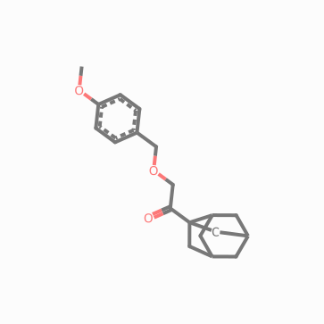 COc1ccc(COCC(=O)C23CC4CC(CC2C4)C3)cc1